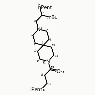 CCCCCC(CCCC)CN1CCC2(CC1)CCN(C(=O)CCC(C)CCC)CC2